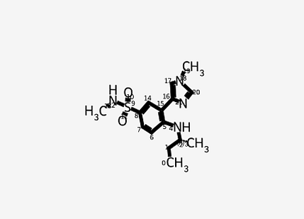 CC[C@@H](C)Nc1ccc(S(=O)(=O)NC)cc1-c1cn(C)cn1